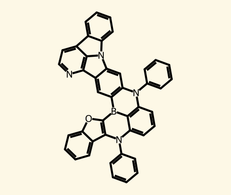 c1ccc(N2c3cc4c(cc3B3c5oc6ccccc6c5N(c5ccccc5)c5cccc2c53)c2nccc3c5ccccc5n4c32)cc1